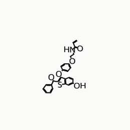 C=CC(=O)NCCOc1ccc(Oc2c(C(=O)c3ccccc3)sc3cc(O)ccc23)cc1